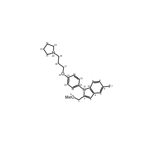 COCc1cc2cc(F)ccc2n1-c1ccc(OCCCN2CCCC2)cc1